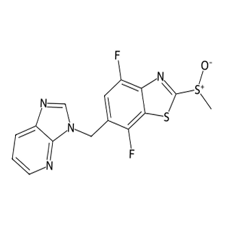 C[S+]([O-])c1nc2c(F)cc(Cn3cnc4cccnc43)c(F)c2s1